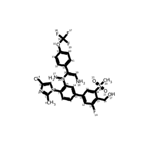 Cc1nc(Cl)cn1-c1ccc(-c2cc(F)c(CO)c(S(C)(=O)=O)c2)cc1N(N)/C(=C\N)c1ccc(OC(F)(F)F)cc1